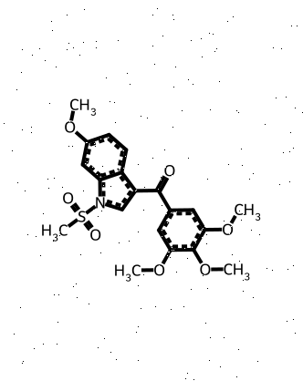 COc1ccc2c(C(=O)c3cc(OC)c(OC)c(OC)c3)cn(S(C)(=O)=O)c2c1